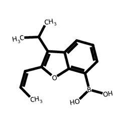 C/C=C\c1oc2c(B(O)O)cccc2c1C(C)C